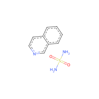 NS(N)(=O)=O.c1ccc2cnccc2c1